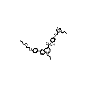 CCCOCCOc1ccc(-c2ccc3c(c2)C=C(C(=O)Nc2ccc(SCc4cncn4CCC)cc2)CCN3CCC)cc1